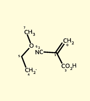 C=C(C#N)C(=O)O.[CH2]COC